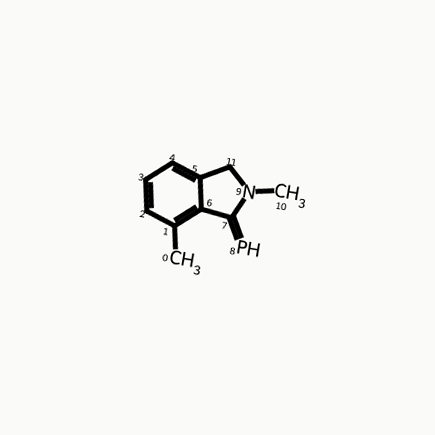 Cc1cccc2c1C(=P)N(C)C2